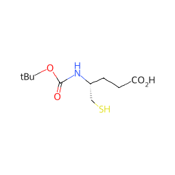 CC(C)(C)OC(=O)N[C@@H](CS)CCC(=O)O